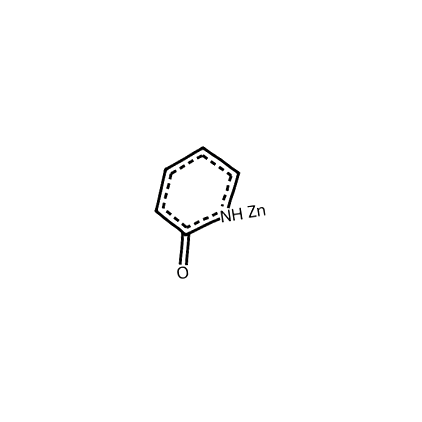 O=c1cccc[nH]1.[Zn]